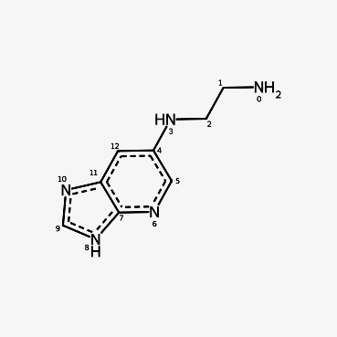 NCCNc1cnc2[nH]cnc2c1